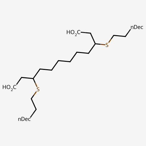 CCCCCCCCCCCCSC(CCCCCCC(CC(=O)O)SCCCCCCCCCCCC)CC(=O)O